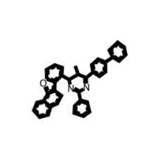 CC1C(c2ccc(-c3ccccc3)cc2)=NC(c2ccccc2)=NC1c1cccc2oc3c4ccccc4ccc3c12